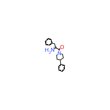 N[C@@H](Cc1ccccc1)C(=O)N1CCC(c2ccccc2)CC1